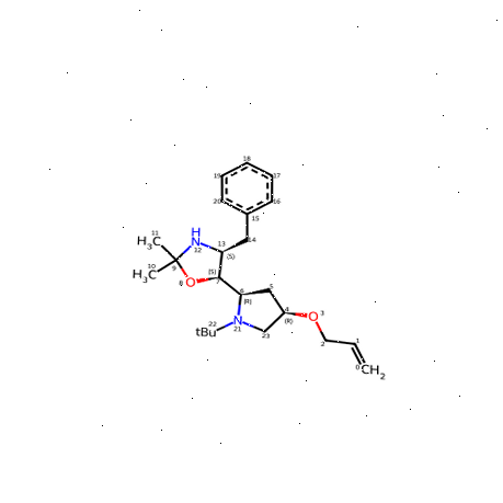 C=CCO[C@@H]1C[C@H]([C@H]2OC(C)(C)N[C@H]2Cc2ccccc2)N(C(C)(C)C)C1